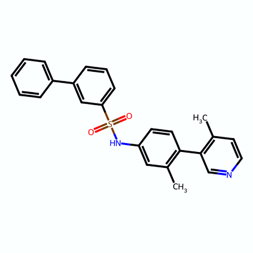 Cc1cc(NS(=O)(=O)c2cccc(-c3ccccc3)c2)ccc1-c1cnccc1C